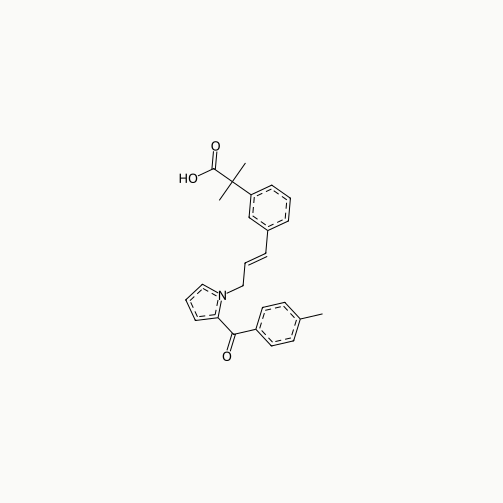 Cc1ccc(C(=O)c2cccn2C/C=C/c2cccc(C(C)(C)C(=O)O)c2)cc1